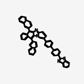 c1ccc2cc(-c3c4ccccc4c(-c4ccc5ccccc5c4)c4c3nc3ccc(-c5ccc(-c6ccc(-c7nc8ccccc8s7)cc6)cc5)cn34)ccc2c1